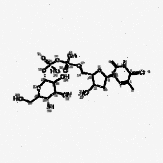 C=C1NC(=O)C(C)=CN1[C@H]1CC(O)[C@@H](COP(=O)(O)OP(=O)(O)O[C@H]2OC(CO)[C@@H](S)[C@H](O)C2O)O1